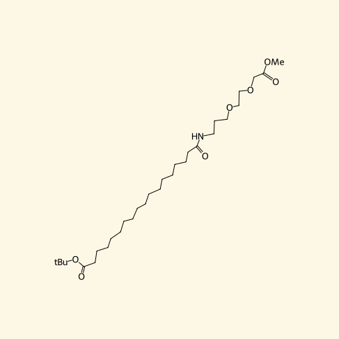 COC(=O)COCCOCCCNC(=O)CCCCCCCCCCCCCCCCC(=O)OC(C)(C)C